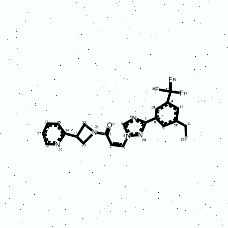 O=C(/C=C\n1cnc(-c2cc(CF)cc(C(F)(F)F)c2)n1)N1CC(c2ccccn2)C1